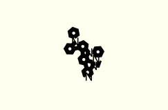 c1ccc(-n2c3ccccc3c3c4c5ccc6c7ccncc7n7ccnc7c6c5n(-c5ccccc5)c4ccc32)cc1